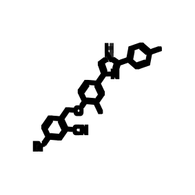 Cc1ccc(-c2nc(-c3ccc(OCc4ccc(Br)cc4C#N)c(C)c3)c[nH]2)cc1